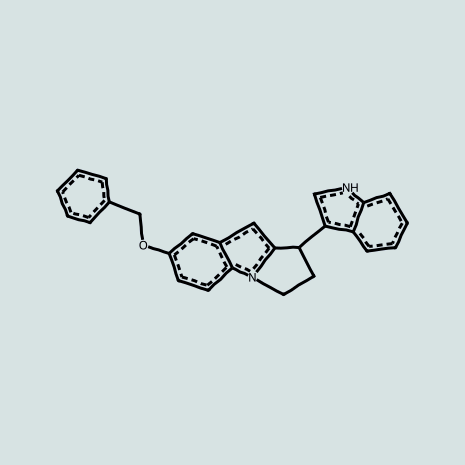 c1ccc(COc2ccc3c(c2)cc2n3CCC2c2c[nH]c3ccccc23)cc1